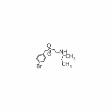 CCC(C)NCCS(=O)(=O)Cc1ccc(Br)cc1